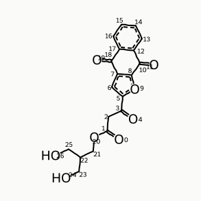 O=C(CC(=O)c1cc2c(o1)C(=O)c1ccccc1C2=O)OCC(CO)CO